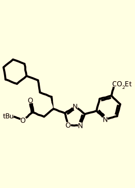 CCOC(=O)c1ccnc(-c2noc([C@H](CCCC3CCCCC3)CC(=O)OC(C)(C)C)n2)c1